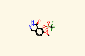 COc1ccc2c(c1OS(=O)(=O)C(F)(F)F)C(=O)N[N]C2